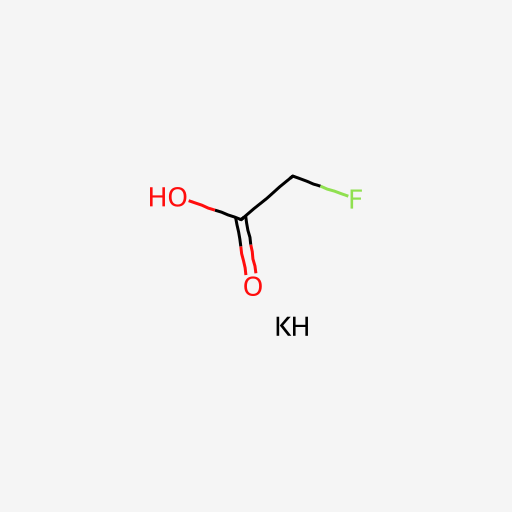 O=C(O)CF.[KH]